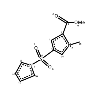 COC(=O)c1cc(S(=O)(=O)n2cccc2)cn1C